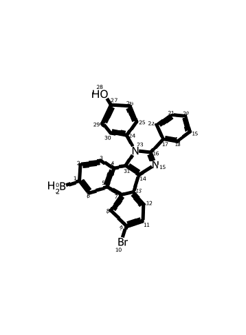 Bc1ccc2c(c1)c1cc(Br)ccc1c1nc(-c3ccccc3)n(-c3ccc(O)cc3)c21